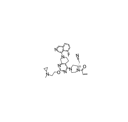 C=CC(=O)N1CCN(c2nc(OCCN(C)C3CC3)nc3c2CCN(c2cncc4cccc(F)c24)C3)C[C@@H]1CC#N